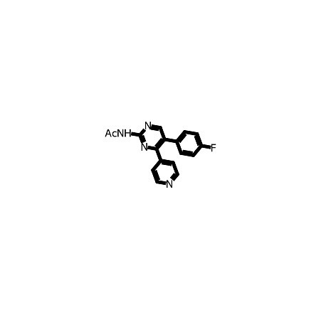 CC(=O)Nc1ncc(-c2ccc(F)cc2)c(-c2ccncc2)n1